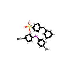 CC(C)(C)c1ccc([I+]c2ccc(C(C)(C)C)cc2)cc1.O=S(=O)([O-])c1ccc(Cc2ccccc2)cc1